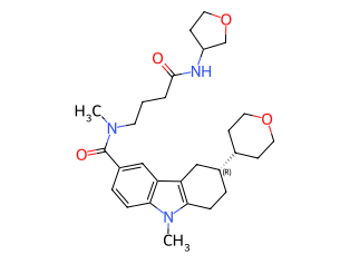 CN(CCCC(=O)NC1CCOC1)C(=O)c1ccc2c(c1)c1c(n2C)CC[C@@H](C2CCOCC2)C1